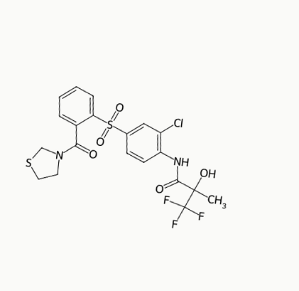 CC(O)(C(=O)Nc1ccc(S(=O)(=O)c2ccccc2C(=O)N2CCSC2)cc1Cl)C(F)(F)F